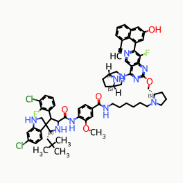 C#Cc1cccc2cc(O)cc(-c3ncc4c(N5C[C@H]6CC[C@@H](C5)N6)nc(OC[C@@H]5CCCN5CCCCCCNC(=O)c5ccc(NC(=O)C6N[C@H](CC(C)(C)C)C7(CNc8cc(Cl)ccc87)C6c6cccc(Cl)c6F)c(OC)c5)nc4c3F)c12